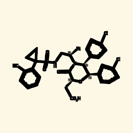 CC[C@@H](CNS(=O)(=O)C1(c2ccccc2C#N)CC1)N1C(=O)[C@@H](CC(=O)O)O[C@H](c2cccc(Cl)c2)[C@H]1c1ccc(Cl)cc1